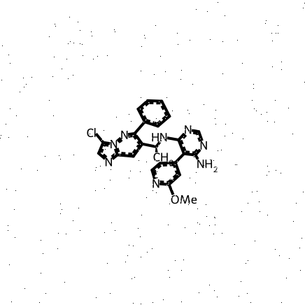 COc1cc(-c2c(N)ncnc2N[C@@H](C)c2cc3ncc(Cl)n3nc2-c2ccccc2)ccn1